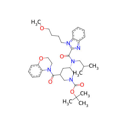 COCCCCn1c(C(=O)N(CC(C)C)[C@H]2CC(C(=O)N3CCOc4ccccc43)CN(C(=O)OC(C)(C)C)C2)nc2ccccc21